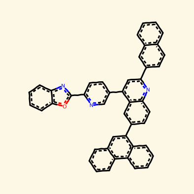 c1ccc2cc(-c3cc(-c4ccc(-c5nc6ccccc6o5)nc4)c4cc(-c5cc6ccccc6c6ccccc56)ccc4n3)ccc2c1